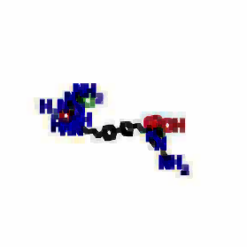 N=C(NCCCCc1ccc(-c2ccc(CCC(=O)N3CCN(CCCN)C[C@@H]3C(=O)O)cc2)cc1)NC(=O)c1nc(Cl)c(N)nc1N